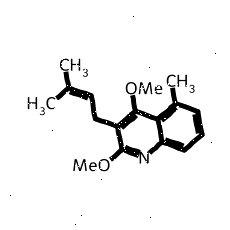 COc1nc2cccc(C)c2c(OC)c1CC=C(C)C